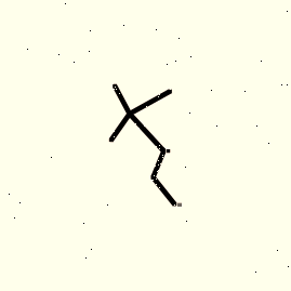 [CH2]C[CH]C(C)(C)C